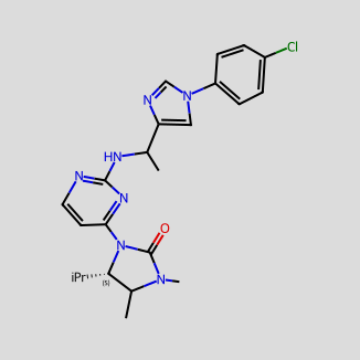 CC(Nc1nccc(N2C(=O)N(C)C(C)[C@@H]2C(C)C)n1)c1cn(-c2ccc(Cl)cc2)cn1